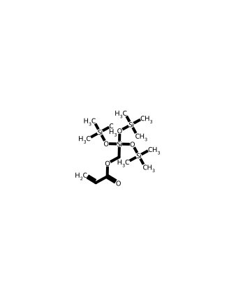 C=CC(=O)OC[Si](O[Si](C)(C)C)(O[Si](C)(C)C)O[Si](C)(C)C